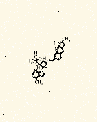 Cc1ncnc2c1ccn2[C@@H]1S[C@@H](CCc2ccc3cc4c(nc3c2)NC(C)C4)[C@H]2OC(C)(C)O[C@H]21